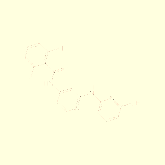 O=C(Nc1ccnc(Nc2cccc(O)n2)c1)c1c(Cl)cccc1Cl